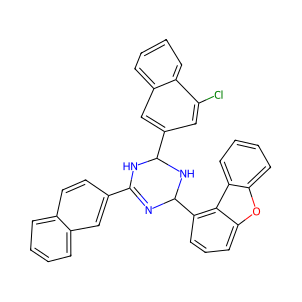 Clc1cc(C2NC(c3ccc4ccccc4c3)=NC(c3cccc4oc5ccccc5c34)N2)cc2ccccc12